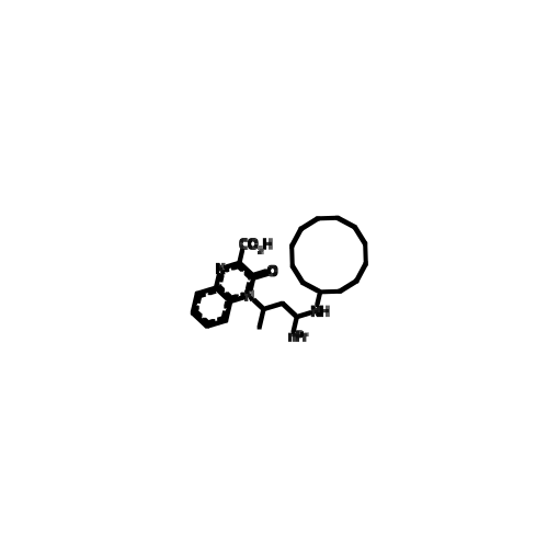 CCCC(CC(C)n1c(=O)c(C(=O)O)nc2ccccc21)NC1CCCCCCCCCCC1